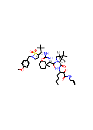 C=CCNC(=O)C(=O)C(CCCC)NC(=O)[C@@H]1[C@@H]2[C@H](CN1C(=O)[C@@H](NC(=O)N[C@H]([C@H]1CCN(Cc3ccc(OC)cc3)S1(=O)=O)C(C)(C)C)C1(C)CCCCC1)C2(C)C